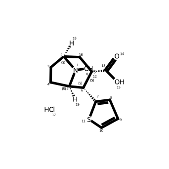 CN1[C@H]2CC[C@@H]1[C@@H](c1cccs1)[C@@H](C(=O)O)C2.Cl